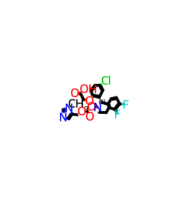 Cn1cncc1COC(=O)ON1CCc2c(ccc(F)c2F)[C@H]1c1cc(Cl)ccc1OCC(=O)O